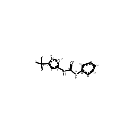 CC(C)(C)c1cc(NC(=O)Nc2ccccc2)on1